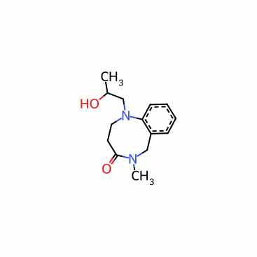 CC(O)CN1CCC(=O)N(C)Cc2ccccc21